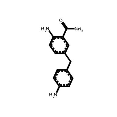 NC(=O)c1cc(Cc2ccc(N)cc2)ccc1N